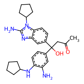 CC(=O)CC(O)(c1ccc(NC2CCCC2)c(N)c1)c1ccc2c(c1)nc(N)n2C1CCCC1